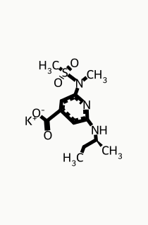 CC[C@H](C)Nc1cc(C(=O)[O-])cc(N(C)S(C)(=O)=O)n1.[K+]